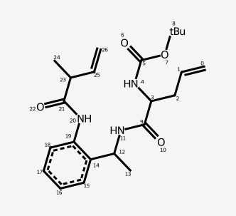 C=CCC(NC(=O)OC(C)(C)C)C(=O)NC(C)c1ccccc1NC(=O)C(C)C=C